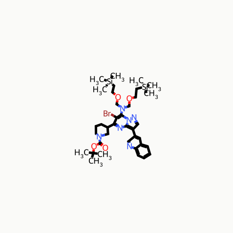 CC(C)(C)OC(=O)N1CCCC(c2nc3c(-c4cnc5ccccc5c4)cnn3c(N(COCC[Si](C)(C)C)COCC[Si](C)(C)C)c2Br)C1